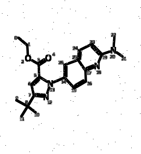 CCOC(=O)c1cc(C(C)(C)C)nn1-c1ccc2nc(N(C)C)ccc2c1